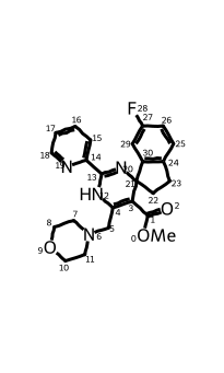 COC(=O)C1=C(CN2CCOCC2)NC(c2ccccn2)=NC12CCc1ccc(F)cc12